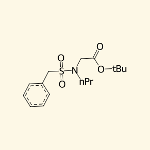 CCCN(CC(=O)OC(C)(C)C)S(=O)(=O)Cc1ccccc1